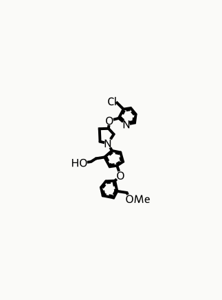 COCc1ccccc1Oc1ccc(N2CCC(Oc3ncccc3Cl)C2)c(CCO)c1